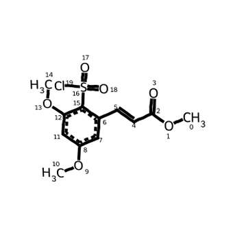 COC(=O)/C=C/c1cc(OC)cc(OC)c1S(=O)(=O)Cl